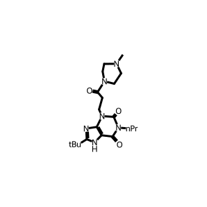 CCCn1c(=O)c2[nH]c(C(C)(C)C)nc2n(CCC(=O)N2CCN(C)CC2)c1=O